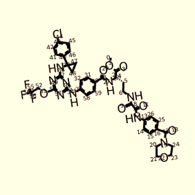 COC(=O)[C@H](CCNC(=O)C(=O)Nc1ccc(C(=O)N2CCOCC2)cc1)NC(=O)c1ccc(Nc2nc(NC3(c4ccc(Cl)cc4)CC3)nc(OCC(F)(F)F)n2)cc1